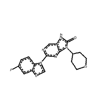 O=c1[nH]c2cnc(-n3cnc4cc(F)ccc43)nc2n1C1CCOCC1